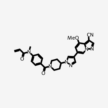 C=CC(=O)N(C)c1ccc(C(=O)N2CCC(n3cc(-c4cc(OC)c5c(C#N)cnn5c4)cn3)CC2)cc1